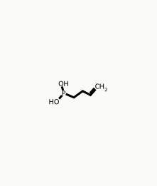 C=CCCP(O)O